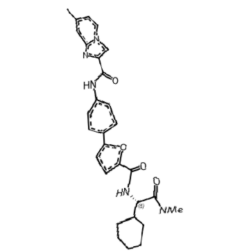 CNC(=O)[C@@H](NC(=O)c1ccc(-c2ccc(NC(=O)c3cn4ccc(C)cc4n3)cc2)o1)C1CCCCC1